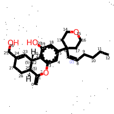 C=C1Oc2cc(C3(/C=C\CCCC)CCOCC3)cc(O)c2[C@H]2C=C(CO)CC[C@H]12